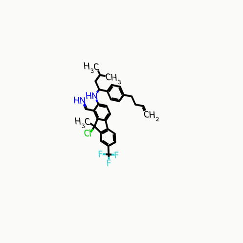 C=CCCc1ccc(C(CC(C)C)Nc2ccc3c(c2C=N)C(C)(Cl)c2cc(C(F)(F)F)ccc2-3)cc1